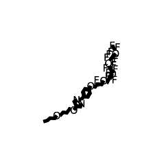 CCCCOCCCCOc1cnc(-c2ccc(OC[C@@H](F)COCC(F)(F)OC(F)(F)C(F)(F)OC(F)(F)C(F)(F)OC(F)(F)F)cc2)nc1